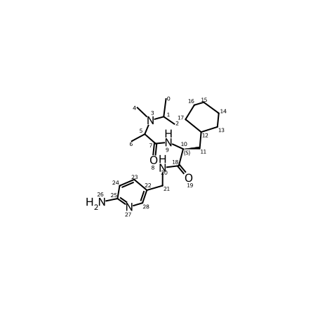 CC(C)N(C)C(C)C(=O)N[C@@H](CC1CCCCC1)C(=O)NCc1ccc(N)nc1